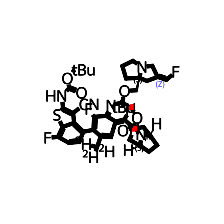 [2H]C([2H])([2H])c1cc2c(N3C[C@H]4CC[C@@H](C3)N4C(=O)OC(C)(C)C)nc(OC[C@@]34CCCN3C/C(=C\F)C4)nc2c(F)c1-c1ccc(F)c2sc(NC(=O)OC(C)(C)C)c(C#N)c12